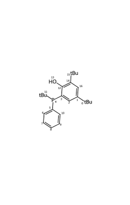 CC(C)(C)c1cc(P(c2ccccc2)C(C)(C)C)c(O)c(C(C)(C)C)c1